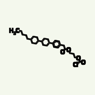 CCCCCC1CCC(C2CCC(c3ccc(CC(=O)OCCCOC(=O)Cl)cc3)CC2)CC1